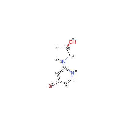 O[C@@H]1CCN(c2cc(Br)ccn2)C1